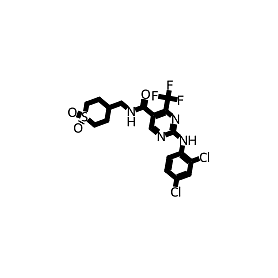 O=C(NCC1CCS(=O)(=O)CC1)c1cnc(Nc2ccc(Cl)cc2Cl)nc1C(F)(F)F